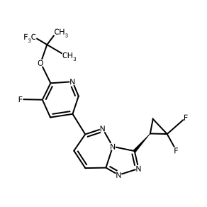 CC(C)(Oc1ncc(-c2ccc3nnc([C@H]4CC4(F)F)n3n2)cc1F)C(F)(F)F